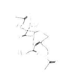 CC(=O)N[C@@]1(N)C(=O)N2C(C(=O)O)=C(COC(C)=O)CS[C@@H]21